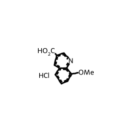 COc1cccc2cc(C(=O)O)cnc12.Cl